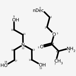 CCCCCCCCCCCCOC(=O)C(C)N.OCCN(CCO)CCO